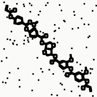 C=CC(=O)Oc1ccc(C(=O)Oc2ccc(C(=O)OC3COC4C(OC(=O)c5ccc(OC(=O)c6ccc(OC(=O)C=C)c(OC)c6)c(OC)c5)COC34)cc2OC)cc1